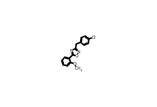 COc1ccccc1-c1nc(Cc2ccc(Cl)cc2)no1